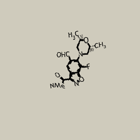 CNC(=O)c1noc2c(F)c(N3C[C@@H](C)O[C@@H](C)C3)c(C=O)cc12